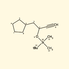 C#CC(CC1CCCC1)O[Si](C)(C)C(C)(C)C